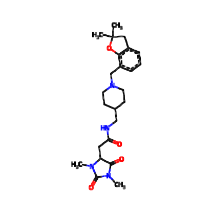 CN1C(=O)C(CC(=O)NCC2CCN(Cc3cccc4c3OC(C)(C)C4)CC2)N(C)C1=O